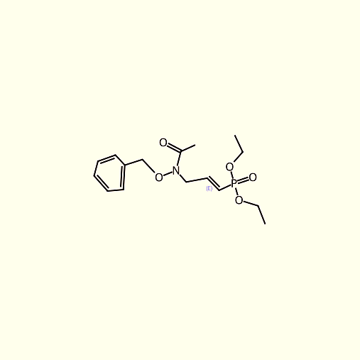 CCOP(=O)(/C=C/CN(OCc1ccccc1)C(C)=O)OCC